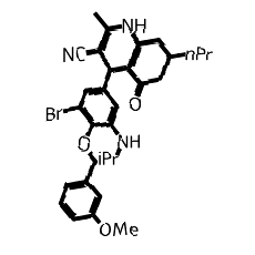 CCCC1CC(=O)C2=C(C1)NC(C)=C(C#N)C2c1cc(Br)c(OCc2cccc(OC)c2)c(NC(C)C)c1